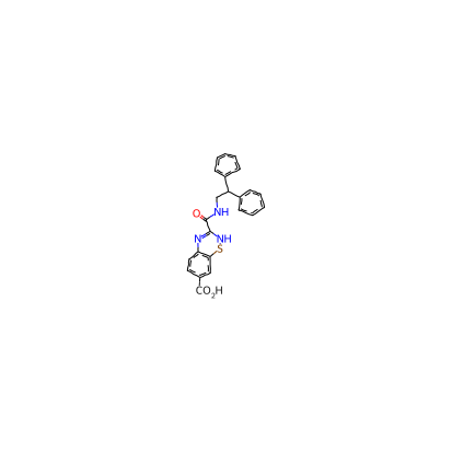 O=C(NCC(c1ccccc1)c1ccccc1)C1=Nc2ccc(C(=O)O)cc2SN1